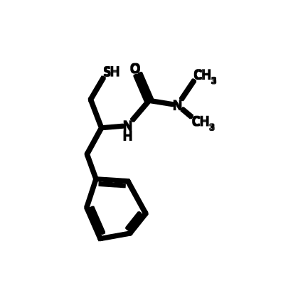 CN(C)C(=O)NC(CS)Cc1ccccc1